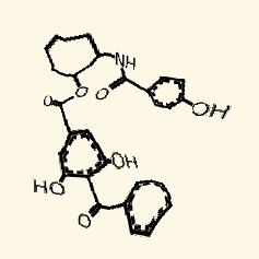 O=C(NC1CCCCC1OC(=O)c1cc(O)c(C(=O)c2ccccc2)c(O)c1)c1ccc(O)cc1